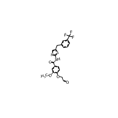 COc1cc(C(=O)Nc2ncc(Cc3cccc(C(F)(F)F)c3)s2)ccc1OCC=O